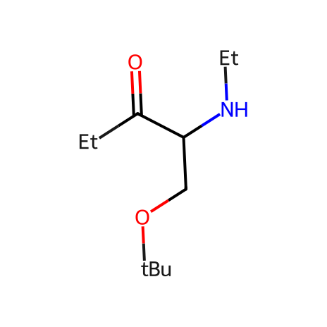 CCNC(COC(C)(C)C)C(=O)CC